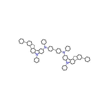 c1ccc(-c2ccc3c(c2)-c2ccc4c(c2C3)c2cc(N(c3ccccc3)c3ccc(-c5ccc(N(c6ccccc6)c6ccc7c(c6)c6c8c(ccc6n7-c6ccccc6)-c6cc(-c7ccccc7)ccc6C8)cc5)cc3)ccc2n4-c2ccccc2)cc1